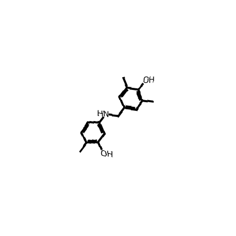 Cc1ccc(NCc2cc(C)c(O)c(C)c2)cc1O